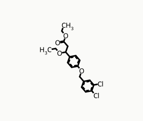 CCOC(=O)CC(OCC)c1ccc(OCc2ccc(Cl)c(Cl)c2)cc1